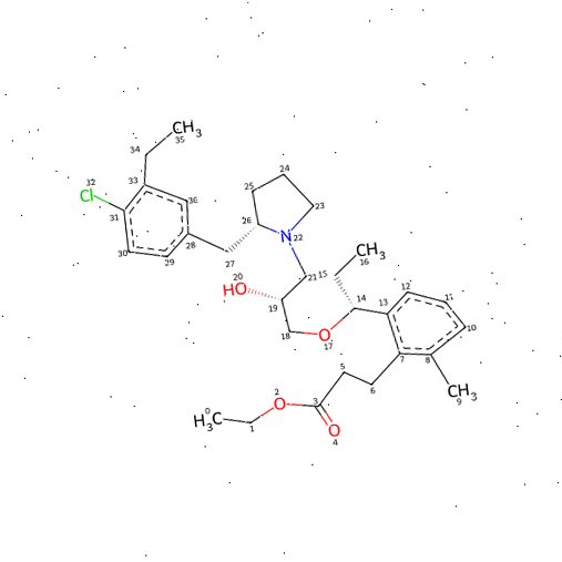 CCOC(=O)CCc1c(C)cccc1[C@@H](CC)OC[C@H](O)CN1CCC[C@H]1Cc1ccc(Cl)c(CC)c1